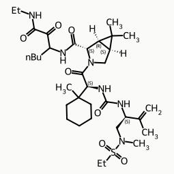 C=C(C)[C@@H](CN(C)S(=O)(=O)CC)NC(=O)N[C@H](C(=O)N1C[C@H]2[C@@H]([C@H]1C(=O)NC(CCCC)C(=O)C(=O)NCC)C2(C)C)C1(C)CCCCC1